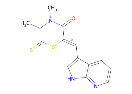 CCN(C)C(=O)/C(=C/c1c[nH]c2ncccc12)SC=S